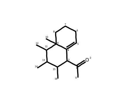 CC(=O)C1C2=CCCCC2(C)C(C)C(C)C1C